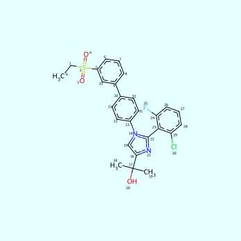 CCS(=O)(=O)c1cccc(-c2ccc(-n3cc(C(C)(C)O)nc3-c3c(F)cccc3Cl)cc2)c1